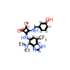 CCN(CC)c1c(Nc2c(NCc3cccc(O)c3)c(=O)c2=O)cc(C(F)(F)F)c2[nH]cnc12